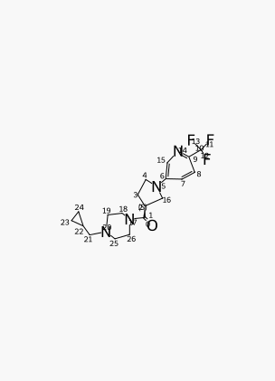 O=C([C@H]1CCN(c2ccc(C(F)(F)F)nc2)C1)N1CCN(CC2CC2)CC1